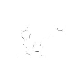 Cc1ccc(Cn2c(O)nc3c(N)nc(OCCOC(=O)N(C)C)nc32)cn1